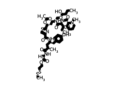 CCCC(O)OCN(CC[C@@H](OC(C)=O)c1nc(C(=O)N[C@@H](Cc2ccc(O)cc2)C[C@H](C)C(=O)NNC(=O)OCCSSC)cs1)C(=O)[C@@H](NC(=O)[C@H]1CCCCN1C)C(C)CC